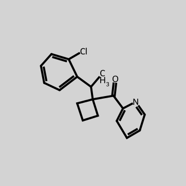 CC(c1ccccc1Cl)C1(C(=O)c2ccccn2)CCC1